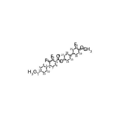 CCc1ccc(-c2ccc(C(=O)Oc3ccc(-c4ccc(OC)c(F)c4)cc3)c(F)c2F)cc1